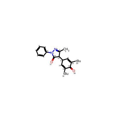 CC1=NN(c2ccccc2)C(=O)C1C1C=C(C(C)(C)C)C(=O)C(C(C)(C)C)=C1